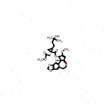 COC(=O)C[C@]1(C(=O)O[C@@H]2C(OC)=C[C@]34CCCN3CCc3cc5c(cc3[C@H]24)OCO5)CC1CCC(C)(C)O